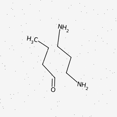 CCCC=O.NCCCN